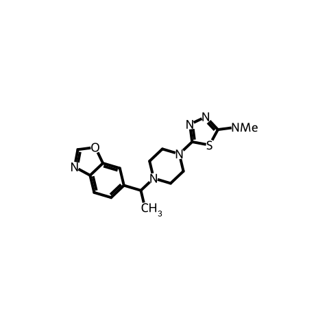 CNc1nnc(N2CCN(C(C)c3ccc4ncoc4c3)CC2)s1